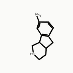 Nc1ccc2c(c1)C1CNCCC1C2